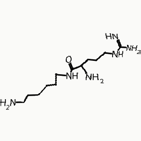 N=C(N)NCCCC(N)C(=O)NCCCCCCN